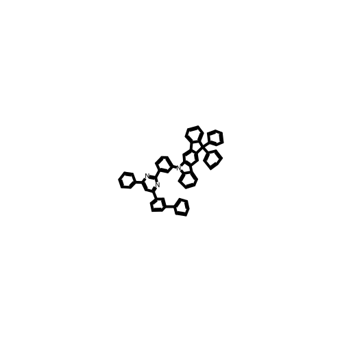 c1ccc(-c2cccc(-c3cc(-c4ccccc4)nc(-c4cccc(-n5c6ccccc6c6cc7c(cc65)-c5ccccc5C7(c5ccccc5)c5ccccc5)c4)n3)c2)cc1